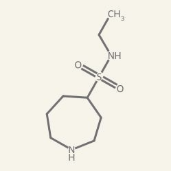 CCNS(=O)(=O)C1CCCNCC1